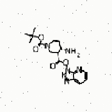 CC(C)(C)OC(=O)N1CC[C@H](N)[C@@H](C(=O)On2nnc3cccnc32)C1